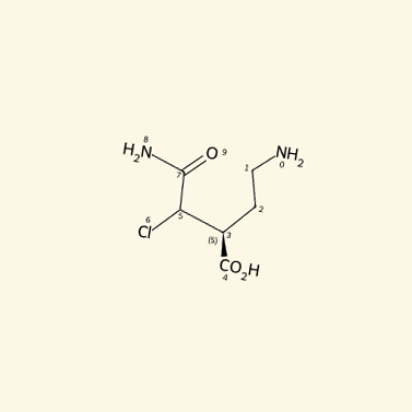 NCC[C@@H](C(=O)O)C(Cl)C(N)=O